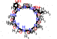 C/C=C/C[C@@H](C)[C@@H](O)[C@H]1C(=O)N[C@@H](CC)C(=O)N(C)CC(=O)N(C)[C@@H](Cc2ccc(O)cc2)C(=O)N[C@@H](C(C)C)C(=O)N(C)[C@@H](CC(C)C)C(=O)N[C@@H](C)C(=O)N[C@H](C)C(=O)N(C)[C@@H](CC(C)C)C(=O)N(C)[C@@H](CC(C)C)C(=O)N(C)[C@@H](C(C)C)C(=O)N1C